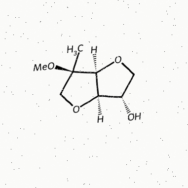 CO[C@]1(C)CO[C@@H]2[C@@H](O)CO[C@@H]21